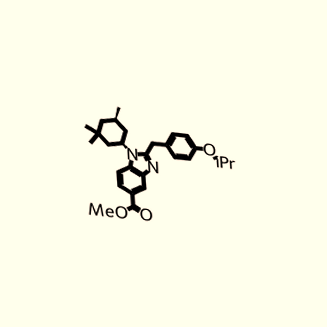 COC(=O)c1ccc2c(c1)nc(Cc1ccc(OC(C)C)cc1)n2[C@@H]1C[C@H](C)CC(C)(C)C1